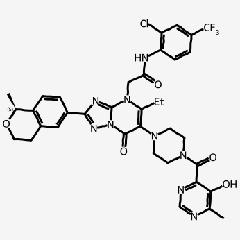 CCc1c(N2CCN(C(=O)c3ncnc(C)c3O)CC2)c(=O)n2nc(-c3ccc4c(c3)CCO[C@H]4C)nc2n1CC(=O)Nc1ccc(C(F)(F)F)cc1Cl